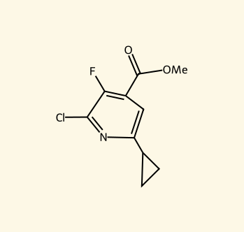 COC(=O)c1cc(C2CC2)nc(Cl)c1F